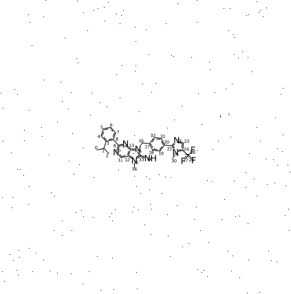 CC(C)c1ccccc1-c1ncc2c(n1)n(Cc1ccc(-c3ncc(C(F)(F)F)n3C)cc1)c(=N)n2C